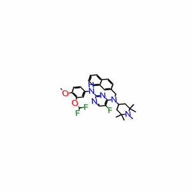 COc1ccc(Nc2ncc(F)c(N(Cc3ccc4ccccc4c3)C3CC(C)(C)N(C)C(C)(C)C3)n2)cc1OC(F)F